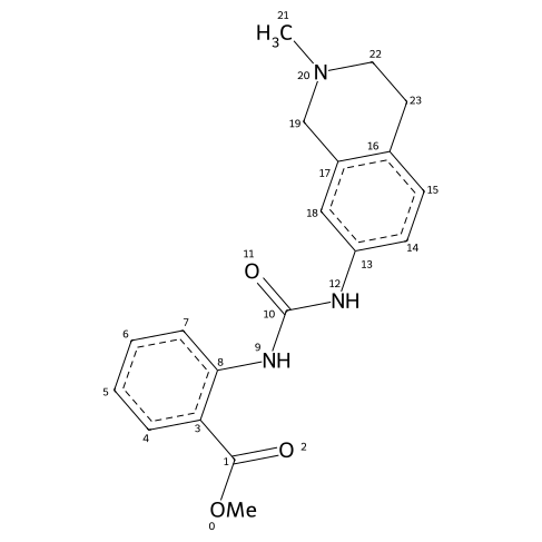 COC(=O)c1ccccc1NC(=O)Nc1ccc2c(c1)CN(C)CC2